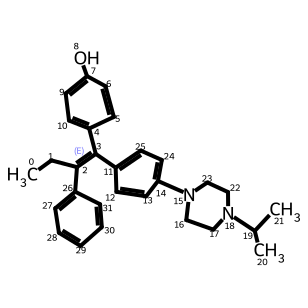 CC/C(=C(\c1ccc(O)cc1)c1ccc(N2CCN(C(C)C)CC2)cc1)c1ccccc1